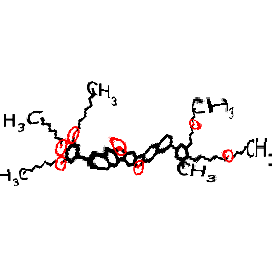 CCCCCCCCOc1cc(-c2ccc3cc4c(cc3c2)oc2cc3c(cc24)oc2cc4cc(-c5cc(C)c(CCCCCOCCCCC)c(CCCCOCCCC)c5)ccc4cc23)cc(OCCCCCCCC)c1OCCCCCCCC